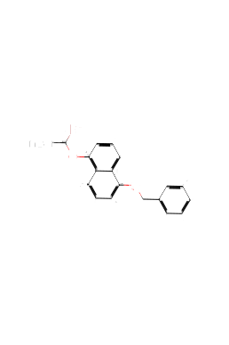 C[CH]CCC(Br)Oc1cccc2c(OCc3ccccc3)cccc12